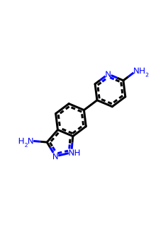 Nc1ccc(-c2ccc3c(N)n[nH]c3c2)cn1